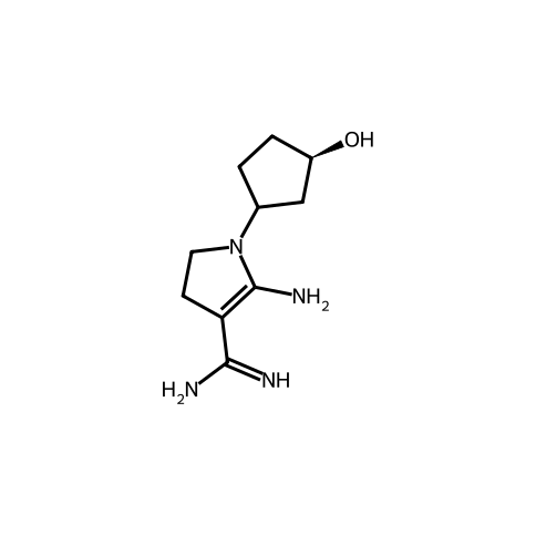 N=C(N)C1=C(N)N(C2CC[C@@H](O)C2)CC1